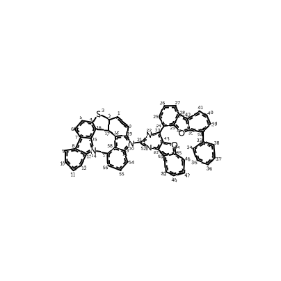 C1=CC2Sc3ccc4c5ccccc5n5c4c3C2c2c1n(-c1nc(-c3cccc4c3oc3c(-c6ccccc6)cccc34)c3oc4ccccc4c3n1)c1cccc-5c21